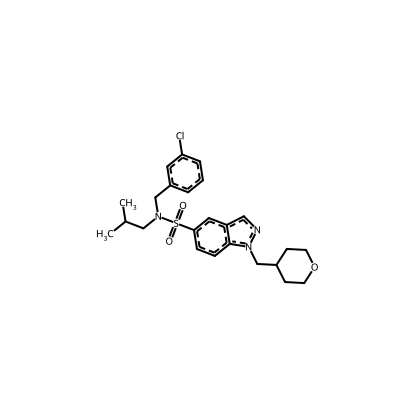 CC(C)CN(Cc1cccc(Cl)c1)S(=O)(=O)c1ccc2c(cnn2CC2CCOCC2)c1